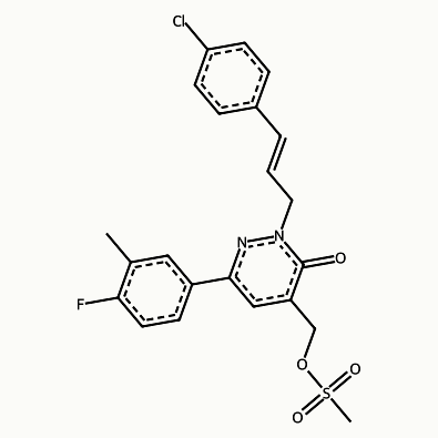 Cc1cc(-c2cc(COS(C)(=O)=O)c(=O)n(CC=Cc3ccc(Cl)cc3)n2)ccc1F